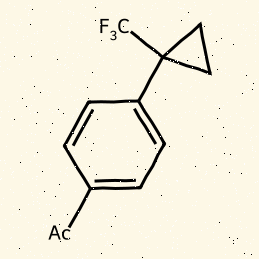 CC(=O)c1ccc(C2(C(F)(F)F)CC2)cc1